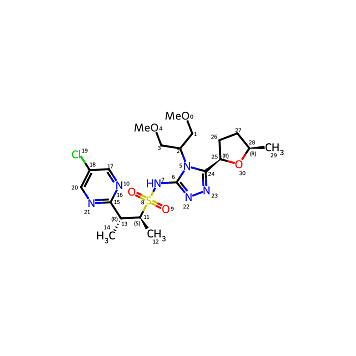 COCC(COC)n1c(NS(=O)(=O)[C@@H](C)[C@H](C)c2ncc(Cl)cn2)nnc1[C@H]1CC[C@@H](C)O1